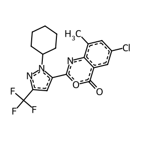 Cc1cc(Cl)cc2c(=O)oc(-c3cc(C(F)(F)F)nn3C3CCCCC3)nc12